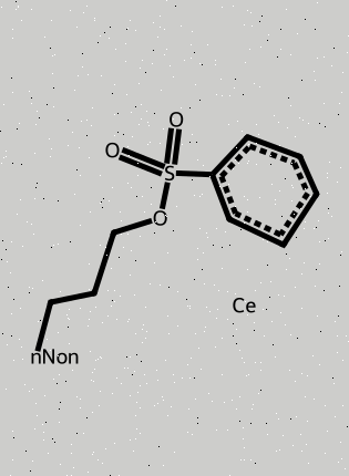 CCCCCCCCCCCCOS(=O)(=O)c1ccccc1.[Ce]